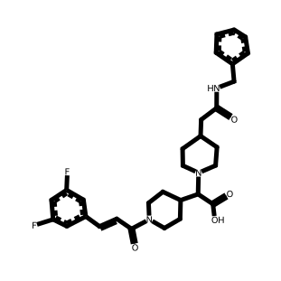 O=C(CC1CCN(C(C(=O)O)C2CCN(C(=O)/C=C/c3cc(F)cc(F)c3)CC2)CC1)NCc1ccccc1